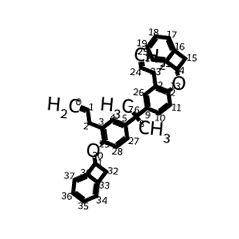 C=CCc1cc(C(C)(C)c2ccc(OC3Cc4ccccc43)c(CC=C)c2)ccc1OC1Cc2ccccc21